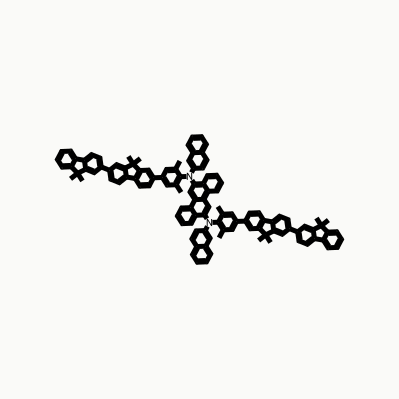 Cc1cc(-c2ccc3c(c2)C(C)(C)c2cc(-c4ccc5c(c4)C(C)(C)c4ccccc4-5)ccc2-3)cc(C)c1N(c1ccc2ccccc2c1)c1cc2c3ccccc3c(N(c3ccc4ccccc4c3)c3c(C)cc(-c4ccc5c(c4)C(C)(C)c4cc(-c6ccc7c(c6)C(C)(C)c6ccccc6-7)ccc4-5)cc3C)cc2c2ccccc12